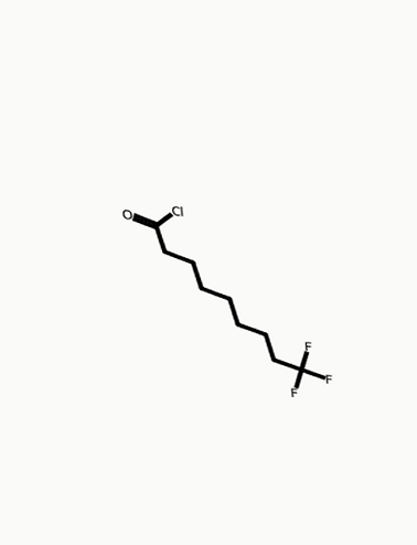 O=C(Cl)CCCCCCCC(F)(F)F